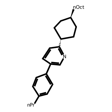 CCCCCCCC[C@H]1CC[C@H](c2ccc(-c3ccc(CCC)cc3)cn2)CC1